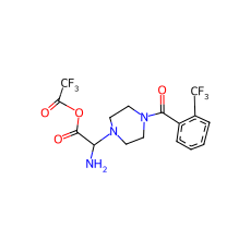 NC(C(=O)OC(=O)C(F)(F)F)N1CCN(C(=O)c2ccccc2C(F)(F)F)CC1